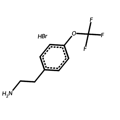 Br.NCCc1ccc(OC(F)(F)F)cc1